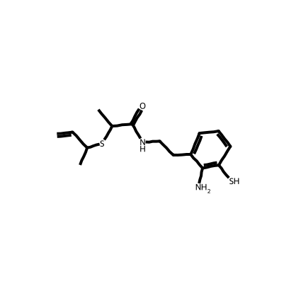 C=CC(C)SC(C)C(=O)NCCc1cccc(S)c1N